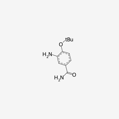 CC(C)(C)Oc1ccc(C(N)=O)cc1N